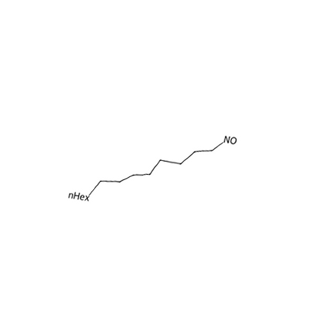 CCCCCCCCCCCCCCN=O